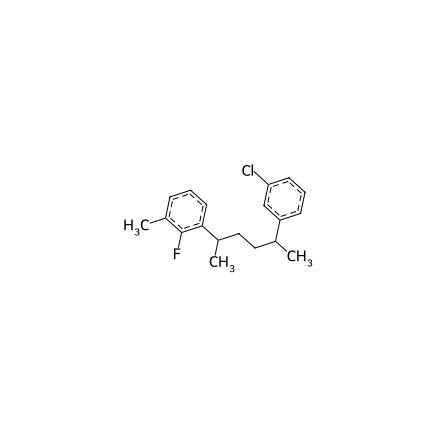 Cc1cccc(C(C)CCC(C)c2cccc(Cl)c2)c1F